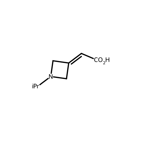 CC(C)N1CC(=CC(=O)O)C1